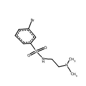 CN(C)CCNS(=O)(=O)c1cccc(Br)c1